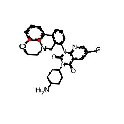 N[C@H]1CC[C@@H](n2c(=O)c3cc(F)cnc3n(-c3cccc(-c4ccccc4)c3CN3CCOCC3)c2=O)CC1